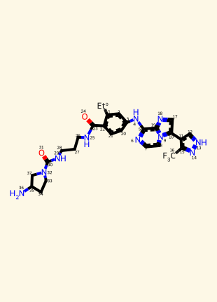 CCc1cc(Nc2nccn3c(-c4c[nH]nc4C(F)(F)F)cnc23)ccc1C(=O)NCCCNC(=O)N1CCC(N)C1